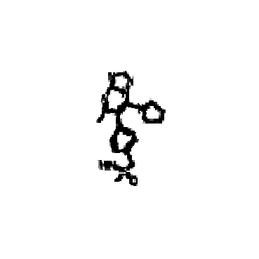 Cc1nc2ncnn2c(N2CCCC2)c1-c1ccc(CS(C)(=N)=O)cc1